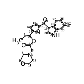 CC[C@H](OC(=O)CN1CCOCC1)c1csc(C(=O)c2c[nH]c3cc(F)ccc23)n1